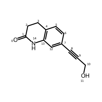 O=C1CCc2ccc(C#CCO)cc2N1